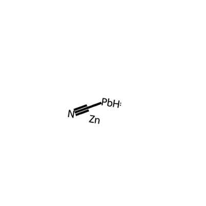 N#[C][PbH].[Zn]